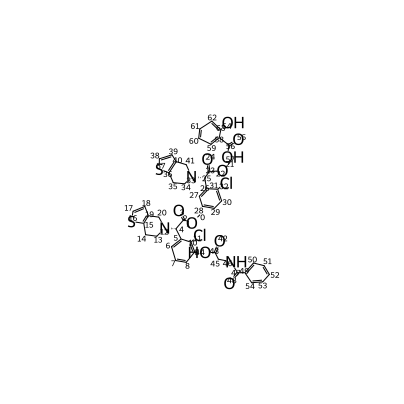 COC(=O)[C@H](c1ccccc1Cl)N1CCc2sccc2C1.COC(=O)[C@H](c1ccccc1Cl)N1CCc2sccc2C1.O=C(O)CNC(=O)c1ccccc1.O=C(O)c1ccccc1O